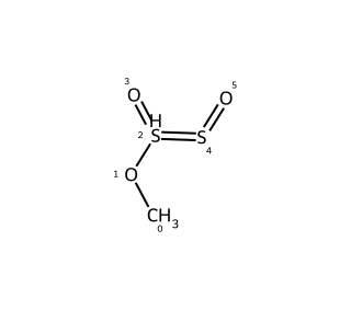 CO[SH](=O)=S=O